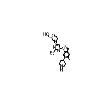 CCc1nc(N2CCO[C@@H](CO)C2)cc(-n2ncc3cc(C)c(C4CCNCC4)cc32)n1